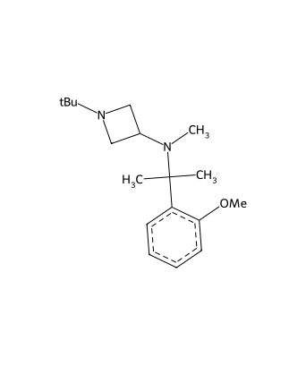 COc1ccccc1C(C)(C)N(C)C1CN(C(C)(C)C)C1